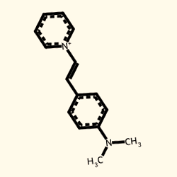 CN(C)c1ccc(C=C[n+]2ccccc2)cc1